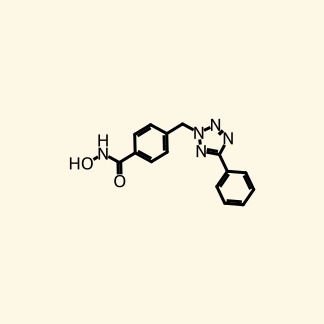 O=C(NO)c1ccc(Cn2nnc(-c3ccccc3)n2)cc1